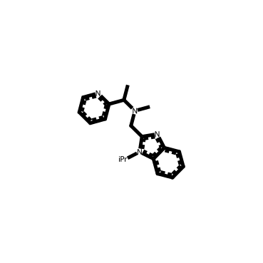 CC(c1ccccn1)N(C)Cc1nc2ccccc2n1C(C)C